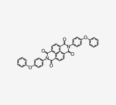 O=C1c2ccc3c4c(ccc(c24)C(=O)N1c1ccc(Oc2ccccc2)cc1)C(=O)N(c1ccc(Oc2ccccc2)cc1)C3=O